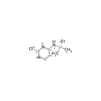 [CH2]C[C@@]([CH2])(C)Nc1ccnc(Cl)n1